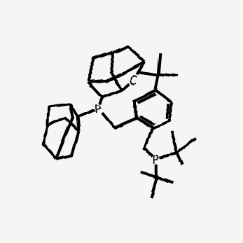 CC(C)(C)c1ccc(CP(C(C)(C)C)C(C)(C)C)c(CP(C2C3CC4CC(C3)CC2C4)C2C3CC4CC(C3)CC2C4)c1